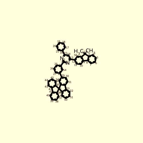 CC1(C)c2ccccc2-c2ccc(-c3cc(-c4ccccc4)nc(-c4cccc(-c5ccc6c(c5)C5(c7ccccc7-c7ccccc75)c5ccccc5-6)c4)n3)cc21